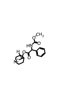 COC(=O)NC(C(=O)O[C@H]1CN2CCC1CC2)c1ccccc1